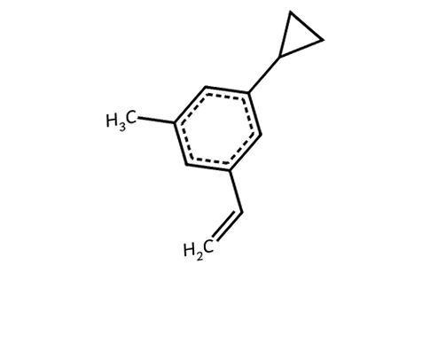 C=Cc1cc(C)cc(C2CC2)c1